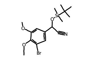 COc1cc(C(C#N)O[Si](C)(C)C(C)(C)C)cc(Br)c1OC